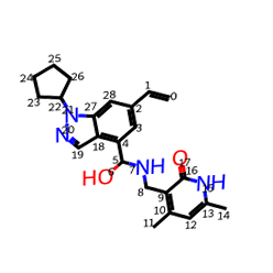 C=Cc1cc(C(O)NCc2c(C)cc(C)[nH]c2=O)c2cnn(C3CCCC3)c2c1